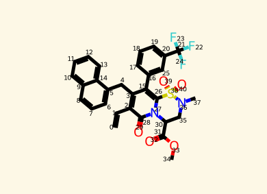 C=Cc1c(Cc2cccc3ccccc23)c(-c2cccc(C(F)(F)F)c2)c2n(c1=O)C(C(=O)OC)CN(C)S2(=O)=O